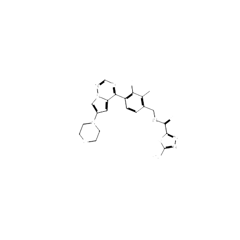 Cc1c(CNC(=O)c2nnc(C(C)(C)C)o2)ccc(-c2ncnn3cc(N4CCOCC4)cc23)c1F